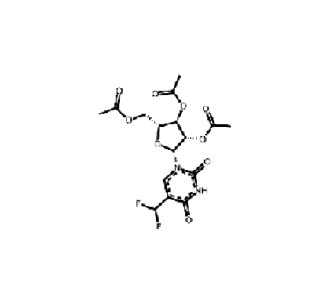 CC(=O)OC[C@H]1O[C@@H](n2cc(C(F)F)c(=O)[nH]c2=O)[C@@H](OC(C)=O)[C@@H]1OC(C)=O